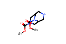 CC(C)(C)OC(=O)N1CC2CNCC(C1)N2C(=O)OC(C)(C)C